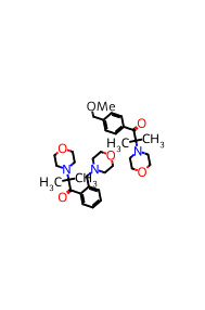 CC(C)(C(=O)c1ccccc1CN1CCOCC1)N1CCOCC1.COCc1ccc(C(=O)C(C)(C)N2CCOCC2)cc1